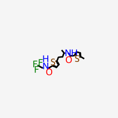 Cc1ccc(C(=O)NC(C)CCc2ccc(C(=O)NCC(F)(F)F)s2)s1